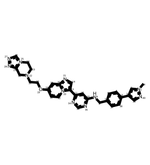 Cn1cc(-c2ccc(CNc3cc(-c4cnc5cc(OCCN6CCn7cnnc7C6)ccn45)ncn3)cc2)cn1